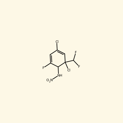 O=[N+]([O-])NC1C(F)=CC(Cl)=CC1(Cl)C(F)F